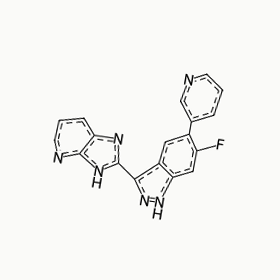 Fc1cc2[nH]nc(-c3nc4cccnc4[nH]3)c2cc1-c1cccnc1